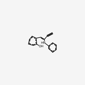 C#CC(=Cc1ccccc1O)Nc1ccccc1